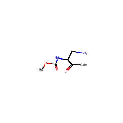 CCCCOC(=O)NC(CN)C(=O)OC